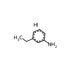 CCc1cccc(N)c1.I